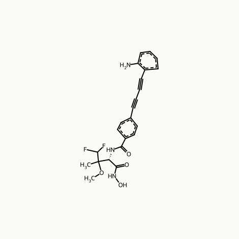 COC(C)(C(F)F)[C@H](NC(=O)c1ccc(C#CC#Cc2ccccc2N)cc1)C(=O)NO